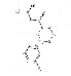 CC(Cl)OC(=O)N1CCO[C@H](c2cccc(F)c2)C1